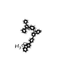 CC1(C)c2ccccc2-c2ccc(-c3ccc(-c4ccc5c(c4)c4ccccc4n5-c4cccc(C5C=C(c6ccccc6)C=C(c6ccccc6)N5)c4)cc3)cc21